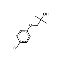 CC(C)(O)COc1ccc(Br)nc1